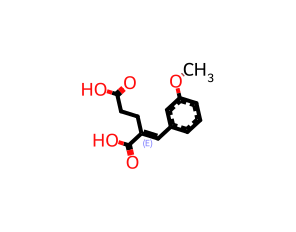 COc1cccc(/C=C(\CCC(=O)O)C(=O)O)c1